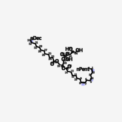 CCCCC/C=C\C/C=C\C/C=C\CCCCCCC(=O)O[C@H](COC(=O)CCCCCCCCC/C=C\CCCCCCCCCC)COP(=O)(O)OC[C@@H](O)CO